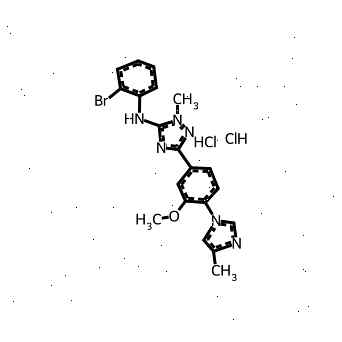 COc1cc(-c2nc(Nc3ccccc3Br)n(C)n2)ccc1-n1cnc(C)c1.Cl.Cl